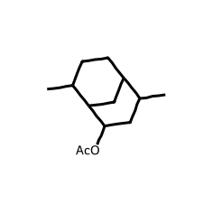 CC(=O)OC1CC(C)C2CCC(C)C1C2